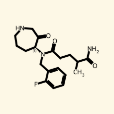 CC(C[CH]C(=O)N(Cc1ccccc1F)[C@H]1CCCNCC1=O)C(N)=O